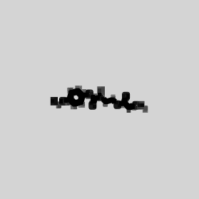 C=CC(=O)OCCNC(=O)Oc1ccc(C)cc1